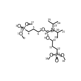 COP(=O)(CCCOP(OCCCP(=O)(OC)OC)N(C(C)C)C(C)C)OC